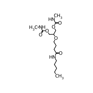 CCCCCNC(=O)CCCOC(COC(=O)NC)COC(=O)NC